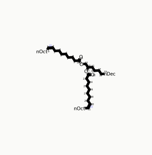 CCCCCCCC/C=C\CCCCCCCC(=O)OCC(CCCCCCCCCCCCCC)OC(=O)CCCCCCC/C=C\CCCCCCCC